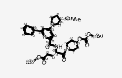 CCCCOC(=O)ON1CCN(C(=O)[C@H](CCC(=O)OC(C)(C)C)NC(=O)c2cc(N3CC[C@H](OC)C3)cc(-c3ccccc3)n2)CC1